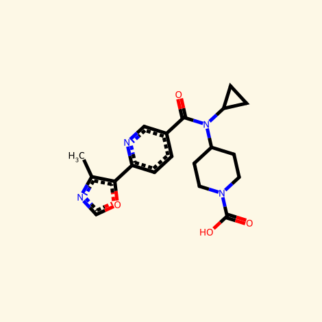 Cc1ncoc1-c1ccc(C(=O)N(C2CC2)C2CCN(C(=O)O)CC2)cn1